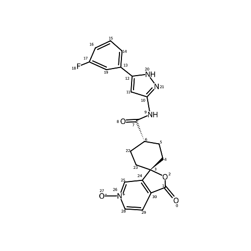 O=C1O[C@]2(CC[C@@H](C(=O)Nc3cc(-c4cccc(F)c4)[nH]n3)CC2)c2c[n+]([O-])ccc21